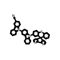 N#Cc1ccc2c(c1)c1ccccc1n2-c1ccc2c(c1)c1ccccc1n2-c1ccc2c(c1)C1(c3ccccc3S2)c2cccnc2-c2ncccc21